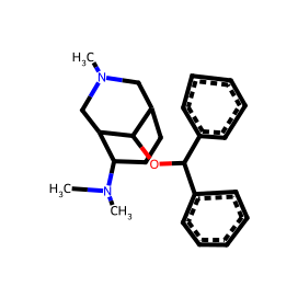 CN1CC2CCC(N(C)C)C(C1)C2OC(c1ccccc1)c1ccccc1